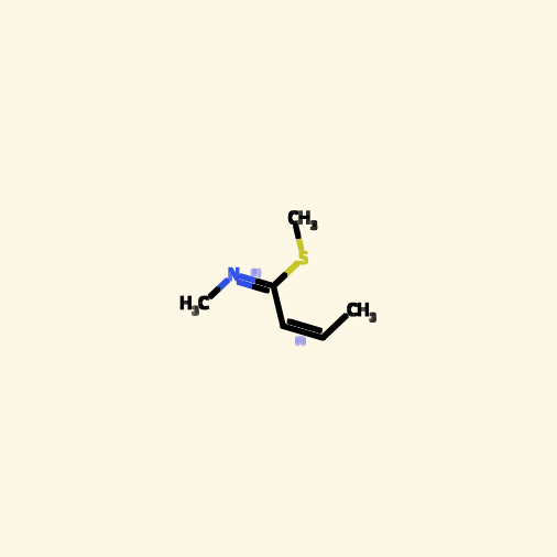 C/C=C\C(=N/C)SC